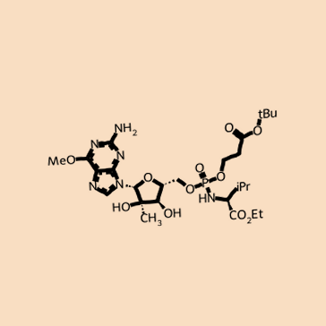 CCOC(=O)[C@@H](NP(=O)(OCCC(=O)OC(C)(C)C)OC[C@H]1O[C@@H](n2cnc3c(OC)nc(N)nc32)[C@](C)(O)[C@@H]1O)C(C)C